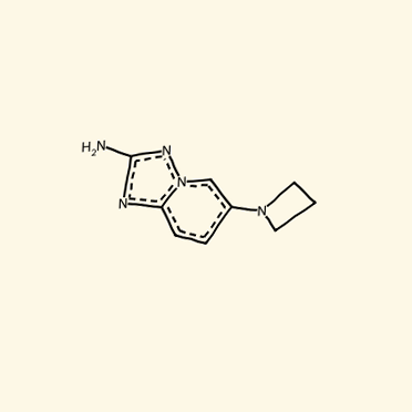 Nc1nc2ccc(N3CCC3)cn2n1